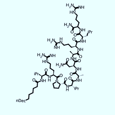 CCCCCCCCCCCCCCCC(=O)N[C@H](C(=O)N[C@@H](CCCNC(=N)N)C(=O)N1CCC[C@H]1C(=O)N[C@H](C(=O)N[C@@H](C)C(=O)N[C@@H](CC(N)=O)C(=O)N[C@@H](C)C(=O)N[C@@H](CCCNC(=N)N)C(=O)N[C@@H](CC(C)C)C(=O)NC(CCCNC(=N)N)C(N)=O)C(C)C)C(C)C